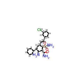 NC(=O)c1c(N)c(-c2ccccc2)cc(/C=C/c2cccc(Cl)c2)c1S(N)(=O)=O